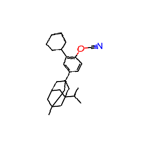 CC(C)C12CC3CC(C)(CC(c4ccc(OC#N)c(C5CCCCC5)c4)(C3)C1)C2